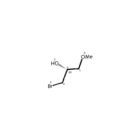 COC[C@@H](O)CBr